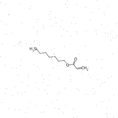 C=CC(=O)OCCCCCC[SiH3]